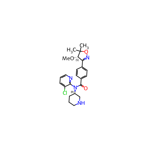 CO[C@H]1C(c2ccc(C(=O)N(c3ncccc3Cl)[C@@H]3CCCNC3)cc2)=NOC1(C)C